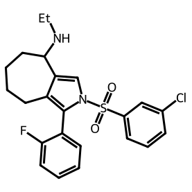 CCNC1CCCCc2c1cn(S(=O)(=O)c1cccc(Cl)c1)c2-c1ccccc1F